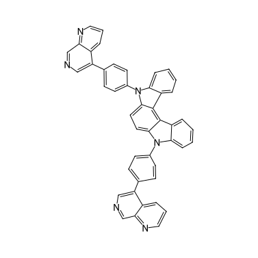 c1cnc2cncc(-c3ccc(-n4c5ccccc5c5c6c7ccccc7n(-c7ccc(-c8cncc9ncccc89)cc7)c6ccc54)cc3)c2c1